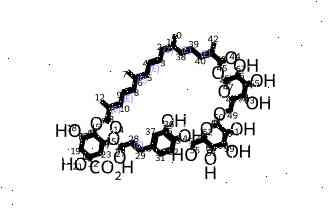 CC(=C/C=C/C=C(C)/C=C/C=C(\C)C(=O)O[C@@H]1[C@@H](O)C[C@](O)(C(=O)O)C[C@H]1OC(=O)/C=C/c1ccc(O)c(O)c1)/C=C/C=C(\C)C(=O)O[C@@H]1OC(CO[C@@H]2OC(CO)[C@@H](O)C(O)C2O)[C@@H](O)C(O)C1O